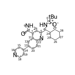 CC(C)(C)[S+]([O-])NC(c1cc(C(N)=O)c2cc(-c3ccncc3)ccc2n1)C1CCCCC1